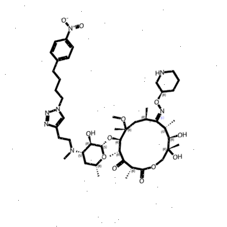 CO[C@]1(C)C[C@@H](C)/C(=N\O[C@@H]2CCCNC2)[C@H](C)[C@@H](O)[C@](C)(O)COC(=O)[C@H](C)C(=O)[C@H](C)[C@H]1O[C@@H]1O[C@H](C)C[C@H](N(C)CCc2cn(CCCCc3ccc([N+](=O)[O-])cc3)nn2)[C@H]1O